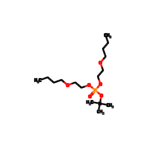 CCCCOCCOP(=O)(OCCOCCCC)O[Si](C)(C)C